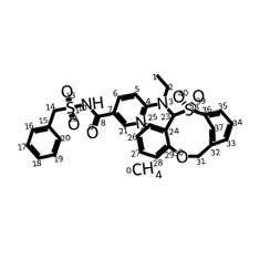 C.CCN(c1ccc(C(=O)NS(=O)(=O)Cc2ccccc2)cn1)C1c2ccccc2OCc2cccc(c2)S1(=O)=O